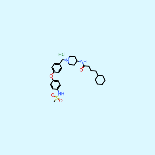 CS(=O)(=O)Nc1ccc(Oc2ccc(CN3CCC(NC(=O)CCCC4CCCCC4)CC3)cc2)cc1.Cl